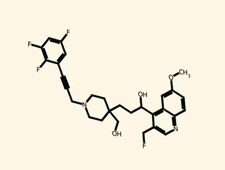 COc1ccc2ncc(CF)c(C(O)CCC3(CO)CCN(CC#Cc4cc(F)cc(F)c4F)CC3)c2c1